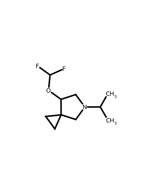 CC(C)N1CC(OC(F)F)C2(CC2)C1